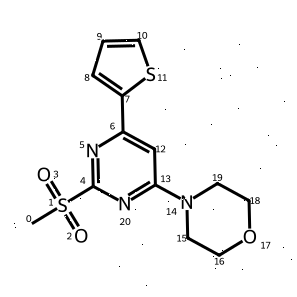 CS(=O)(=O)c1nc(-c2cccs2)cc(N2CCOCC2)n1